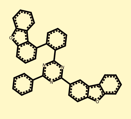 c1ccc(-c2nc(-c3ccc4oc5ccccc5c4c3)nc(-c3ccccc3-c3cccc4oc5ccccc5c34)n2)cc1